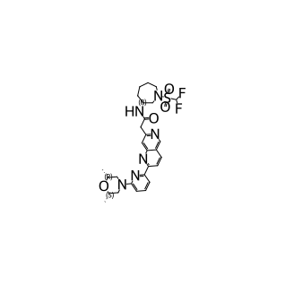 C[C@@H]1CN(c2cccc(-c3ccc4cnc(CC(=O)N[C@@H]5CCCCN(S(=O)(=O)C(F)F)C5)cc4n3)n2)C[C@H](C)O1